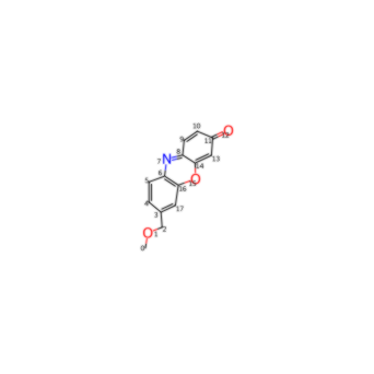 COCc1ccc2nc3ccc(=O)cc-3oc2c1